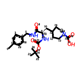 Cc1ccc(CNC(=O)[C@H](CC2CCN(C(=O)O)CC2)NC(=O)OC(C)(C)C)cc1